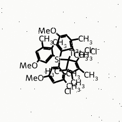 COc1cc(C)c(C)c([Si](c2cc(OC)cc(C)c2C)(c2cc(OC)cc(C)c2C)[C]2([Ti+3])C(C)=C(C)C(C)=C2C)c1.[Cl-].[Cl-].[Cl-]